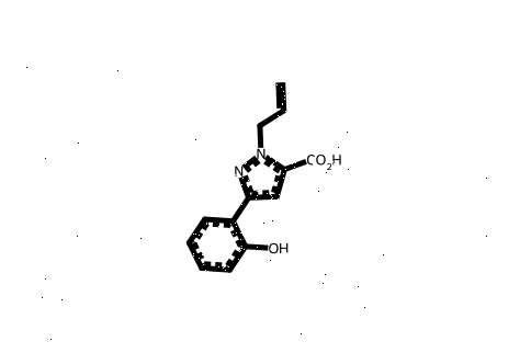 C=CCn1nc(-c2ccccc2O)cc1C(=O)O